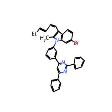 CC/C=C/C=C\c1c(C)n(-c2cccc(-c3cc(-c4ccccc4)nc(-c4ccccc4)n3)c2)c2cc(Br)ccc12